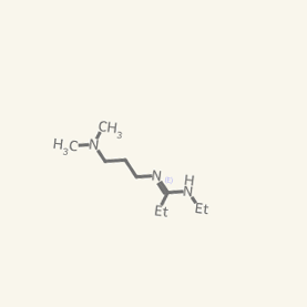 CCN/C(CC)=N/CCCN(C)C